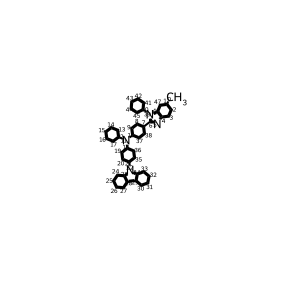 Cc1ccc2nc(-c3ccc(N(c4ccccc4)c4ccc(-n5c6ccccc6c6ccccc65)cc4)cc3)n(-c3ccccc3)c2c1